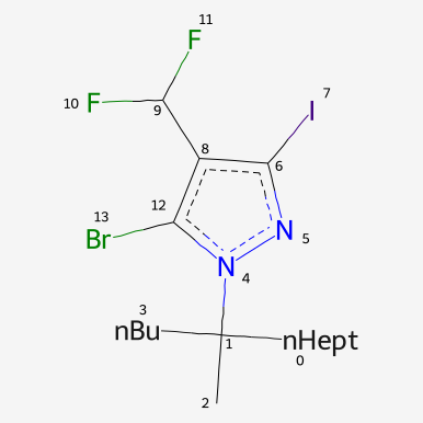 CCCCCCCC(C)(CCCC)n1nc(I)c(C(F)F)c1Br